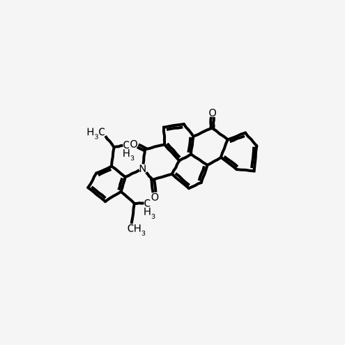 CC(C)c1cccc(C(C)C)c1N1C(=O)c2ccc3c4c(ccc(c24)C1=O)-c1ccccc1C3=O